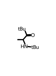 CC(NC(C)(C)C)C(=O)C(C)(C)C